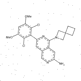 COc1cc(OC)c(Cl)c(-c2cc3cnc(N)cc3c(N3CC4(CCC4)C3)n2)c1Cl